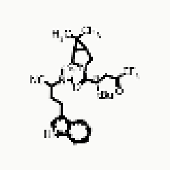 CC1(C)C2CN(C(=O)[C@@H](CC(=O)C(F)(F)F)C(C)(C)C)[C@H](CNC(C#N)CCc3c[nH]c4ccccc34)C21